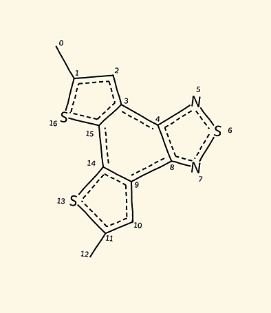 Cc1cc2c3nsnc3c3cc(C)sc3c2s1